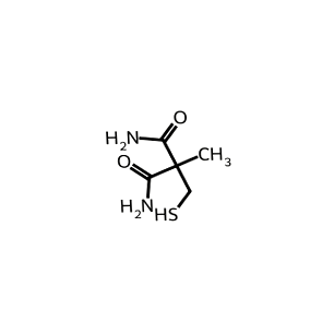 CC(CS)(C(N)=O)C(N)=O